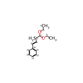 CCOC(OCC)[SiH2]C=Cc1ccccc1